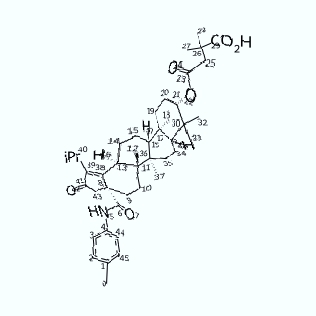 Cc1ccc(NC(=O)[C@@]23CC[C@]4(C)[C@H](CC[C@@H]5[C@@]6(C)CC[C@H](OC(=O)CC(C)(C)C(=O)O)C(C)(C)[C@@H]6CC[C@]54C)C2=C(C(C)C)C(=O)C3)cc1